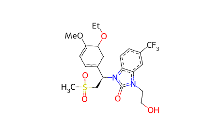 CCOC1CC([C@H](CS(C)(=O)=O)n2c(=O)n(CCO)c3cc(C(F)(F)F)ccc32)=CC=C1OC